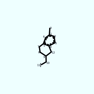 Cc1ccc2c(c1)CCC(CI)C2